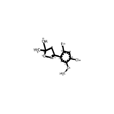 COc1cc(C2=NOC(C)(O)C2)c(F)cc1Cl